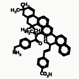 CN(C(=O)c1ccc(CN)cc1)c1cc(-c2ccc3ccccc3c2C(O)C=Cc2ccc(C(=O)O)cc2)cc2ccc3c(c12)C(C)(C)CC1=C3C=CC(C)(C)C1